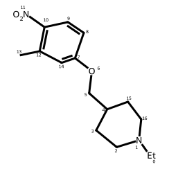 CCN1CCC(COc2ccc([N+](=O)[O-])c(C)c2)CC1